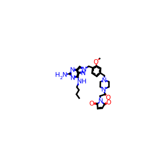 CCCCNc1nc(N)nc2cn(Cc3ccc(CN4CCN(C(=O)CN5C(=O)C=CC5=O)CC4)cc3OC)nc12